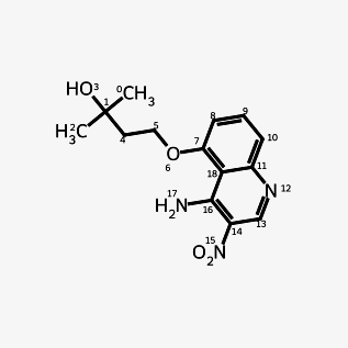 CC(C)(O)CCOc1cccc2ncc([N+](=O)[O-])c(N)c12